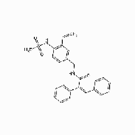 C=Cc1cc(CNC(=O)/C(=C\c2ccccc2)c2ccccc2)ccc1NS(C)(=O)=O